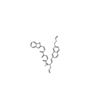 C=CCCc1ccc2ccc(/C=C/C(CC=C)N(C)C(=C)/C=C\C(=C)C(=C)/C=C\c3cc4ccccc4s3)cc2c1